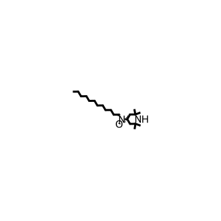 CCCCCCCCCCCC=[N+]([O-])C1CC(C)(C)NC(C)(C)C1